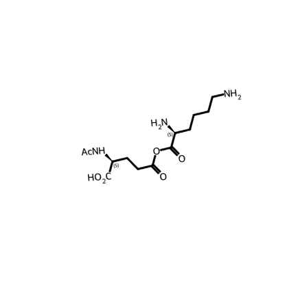 CC(=O)N[C@@H](CCC(=O)OC(=O)[C@@H](N)CCCCN)C(=O)O